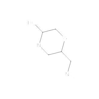 NCC1CNC(C=O)CO1